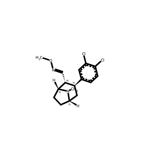 CON=C[C@@H]1[C@@H](c2ccc(Cl)c(Cl)c2)C[C@@H]2CC[C@H]1N2C